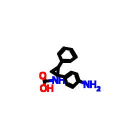 Nc1ccc(C2(NC(=O)O)CC2c2ccccc2)cc1